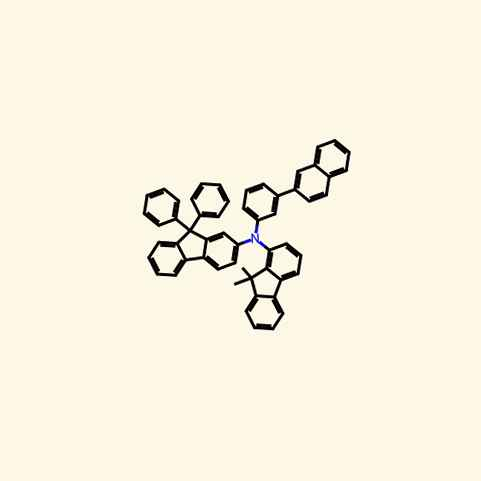 CC1(C)c2ccccc2-c2cccc(N(c3cccc(-c4ccc5ccccc5c4)c3)c3ccc4c(c3)C(c3ccccc3)(c3ccccc3)c3ccccc3-4)c21